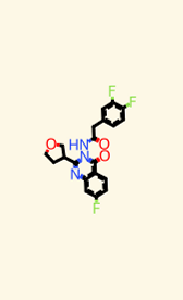 O=C(Cc1ccc(F)c(F)c1)Nn1c(C2CCOC2)nc2cc(F)ccc2c1=O